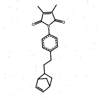 CC1=C(C)C(=O)N(c2ccc(CCC3CC4C=CC3C4)cc2)C1=O